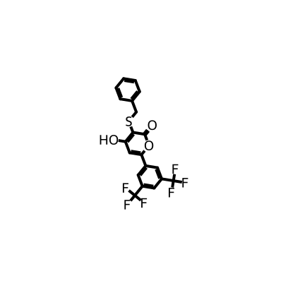 O=c1oc(-c2cc(C(F)(F)F)cc(C(F)(F)F)c2)cc(O)c1SCc1ccccc1